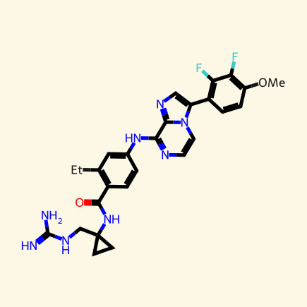 CCc1cc(Nc2nccn3c(-c4ccc(OC)c(F)c4F)cnc23)ccc1C(=O)NC1(CNC(=N)N)CC1